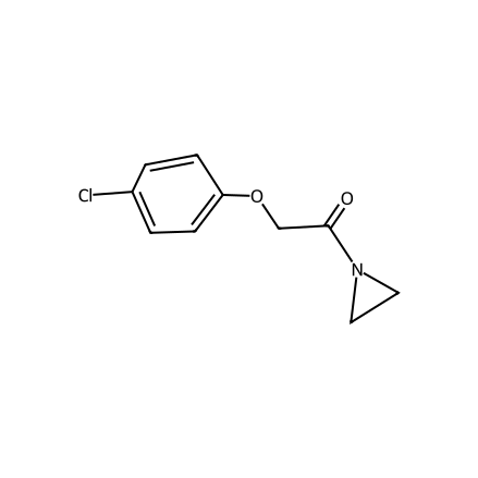 O=C(COc1ccc(Cl)cc1)N1CC1